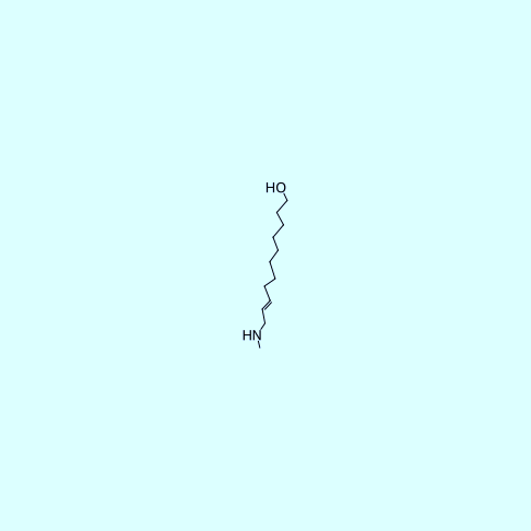 CNC/C=C/CCCCCCCCO